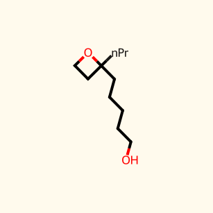 CCCC1(CCCCCO)CCO1